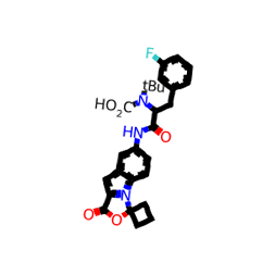 CC(C)(C)N(C(=O)O)C(Cc1cccc(F)c1)C(=O)Nc1ccc2c(c1)cc1n2C2(CCC2)OC1=O